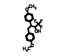 COc1ccc(CC(c2ccc(OC)cc2)C(O)C(F)(F)F)cc1